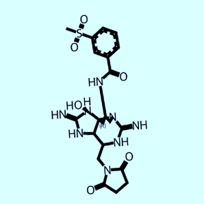 CS(=O)(=O)c1cccc(C(=O)NC2CN3C(=N)NC(CN4C(=O)CCC4=O)C4NC(=N)NC43[C@@H]2O)c1